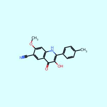 COc1cc2[nH]c(-c3ccc(C)cc3)c(O)c(=O)c2cc1C#N